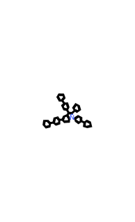 c1ccc(-c2ccc(-c3ccc4c(c3)c(-c3ccc(-c5ccccc5)cc3)c(-c3ccccc3)n4-c3ccc(-c4ccccc4)cc3)cc2)cc1